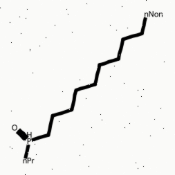 CCCCCCCCCCCCCCCCCC[PH](=O)CCC